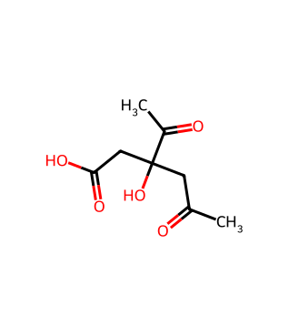 CC(=O)CC(O)(CC(=O)O)C(C)=O